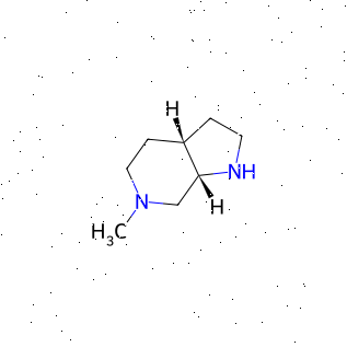 CN1CC[C@@H]2CCN[C@@H]2C1